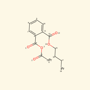 CCCC(=O)OC(=O)c1ccccc1C(=O)OCCCC(C)C